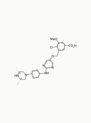 COc1cc(C(=O)O)cc(COc2cnc(Nc3ccc(N4C[C@@H](C)N[C@@H](C)C4)cc3)nc2)c1Cl